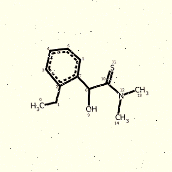 CCc1ccccc1C(O)C(=S)N(C)C